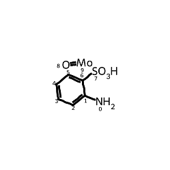 Nc1ccccc1S(=O)(=O)O.[O]=[Mo]